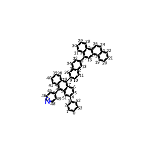 c1ccc(-c2ccc3c(-c4ccc5cc(-c6cc7c8ccccc8ccc7c7ccccc67)ccc5c4)c4ccccc4c(-c4ccncc4)c3c2)cc1